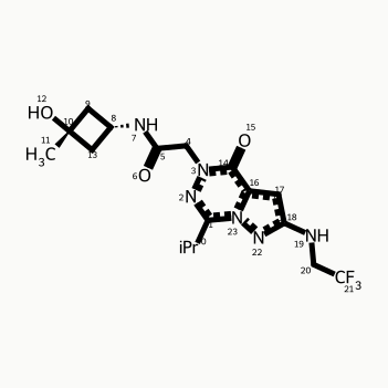 CC(C)c1nn(CC(=O)N[C@H]2C[C@@](C)(O)C2)c(=O)c2cc(NCC(F)(F)F)nn12